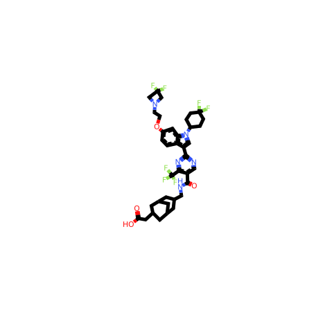 O=C(O)CC1CC2CC(CNC(=O)c3cnc(-c4cn(C5CCC(F)(F)CC5)c5cc(OCCN6CC(F)(F)C6)ccc45)nc3C(F)(F)F)CC(C1)C2